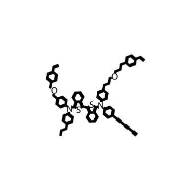 C#CC#CC#Cc1ccc(N(c2ccc(CCCOCCCc3ccc(C=C)cc3)cc2)c2sc(-c3sc(N(c4ccc(CCC)cc4)c4ccc(COCc5ccc(C=C)cc5)cc4)c4ccccc34)c3ccccc23)cc1